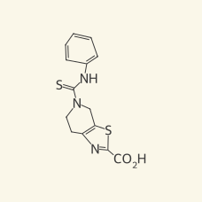 O=C(O)c1nc2c(s1)CN(C(=S)Nc1ccccc1)CC2